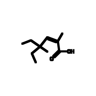 CCC(C)(C=C(C)C(=O)O)CC